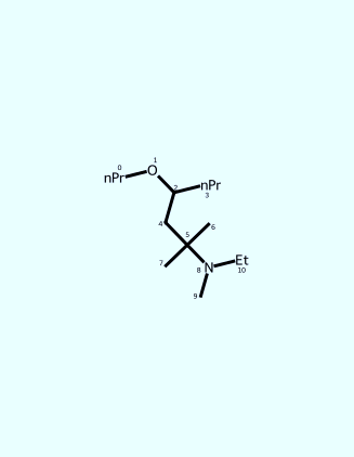 CCCOC(CCC)CC(C)(C)N(C)CC